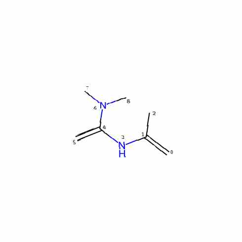 C=C(C)NC(=C)N(C)C